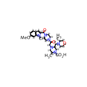 COc1ccc2cc(C(=O)N3CCN(C(=O)CN4CC(C)N(C(=O)O)CC4CN4CCOC[C@H]4C)CC3)n(C)c2c1